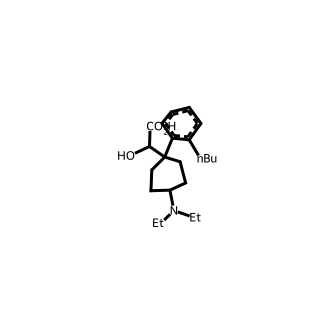 CCCCc1ccccc1C1(C(O)C(=O)O)CCC(N(CC)CC)CC1